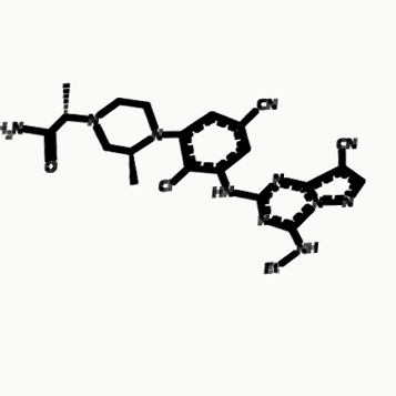 CCNc1nc(Nc2cc(C#N)cc(N3CCN([C@@H](C)C(N)=O)C[C@@H]3C)c2Cl)nc2c(C#N)cnn12